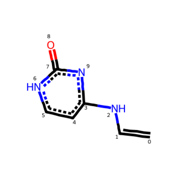 C=CNc1cc[nH]c(=O)n1